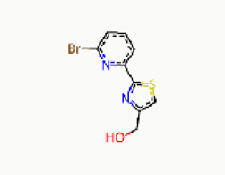 OCc1csc(-c2cccc(Br)n2)n1